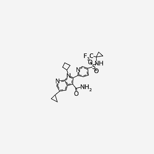 NC(=O)c1c(-c2ccc(S(=O)(=O)NC3(C(F)(F)F)CC3)cn2)n(C2CCC2)c2ncc(C3CC3)cc12